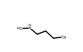 N#CCCCNO